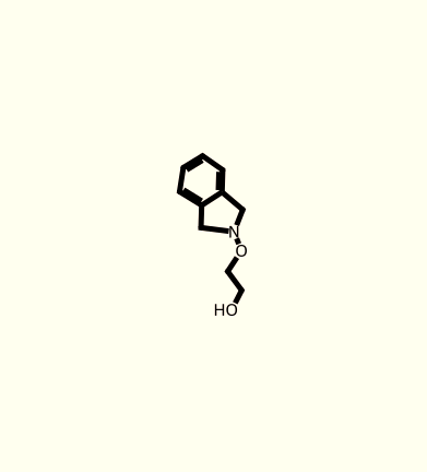 OCCON1Cc2ccccc2C1